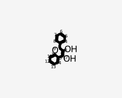 Oc1c(-c2ccccc2)[o+]c2ccccc2c1O